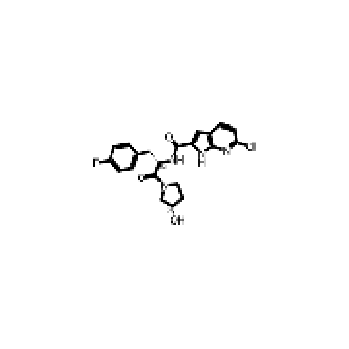 O=C(N[C@@H](Cc1ccc(F)cc1)C(=O)N1CC[C@H](O)C1)c1cc2ccc(Cl)nc2[nH]1